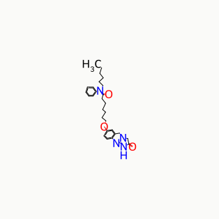 CCCCCCN(C(=O)CCCCCCOc1ccc2c(c1)CN1CC(=O)NC1=N2)c1ccccc1